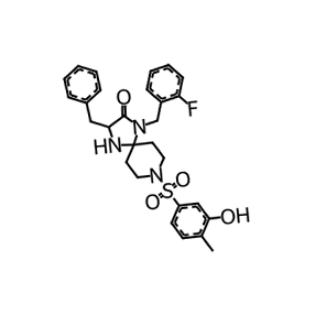 Cc1ccc(S(=O)(=O)N2CCC3(CC2)NC(Cc2ccccc2)C(=O)N3Cc2ccccc2F)cc1O